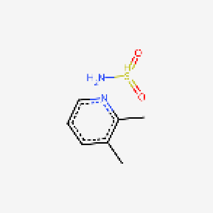 Cc1cccnc1C.N[SH](=O)=O